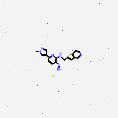 Cn1cc(-c2ccc(N=N)c(NCc3cc4cnccc4s3)n2)cn1